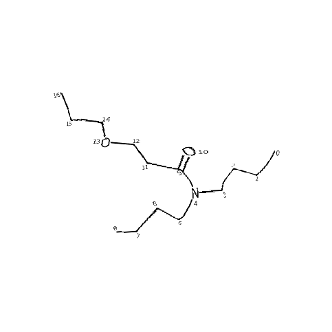 CCCCN(CCCC)C(=O)CCOCCC